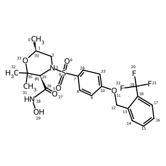 C[C@H]1CN(S(=O)(=O)c2ccc(OCc3ccccc3C(F)(F)F)cc2)[C@@H](C(=O)NO)C(C)(C)O1